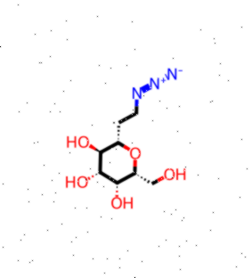 [N-]=[N+]=NC[CH][C@@H]1O[C@H](CO)[C@H](O)[C@H](O)[C@H]1O